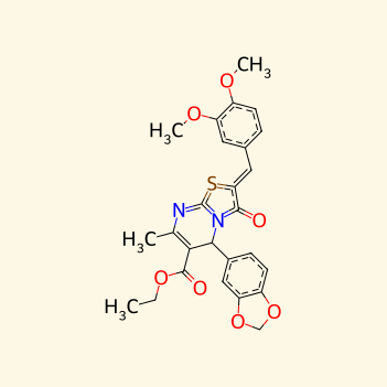 CCOC(=O)C1=C(C)N=c2sc(=Cc3ccc(OC)c(OC)c3)c(=O)n2C1c1ccc2c(c1)OCO2